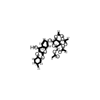 CC(=O)OC[C@H]1O[C@@H](Oc2ccc3c(O)c(OC4CCC(C)CC4)c(=O)oc3c2)[C@H](OC(C)=O)[C@@H](OC(C)=O)[C@H]1OC(C)=O